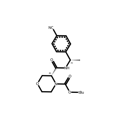 C[C@H](NC(=O)[C@H]1COCCN1C(=O)OC(C)(C)C)c1ccc(C#N)cc1